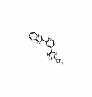 FC(F)(F)c1nc(-c2ccnc(-c3cn4ccccc4n3)c2)no1